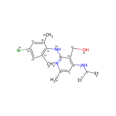 CCC(CC)Nc1cc(C)nc(Nc2c(C)cc(Br)cc2C)c1CO